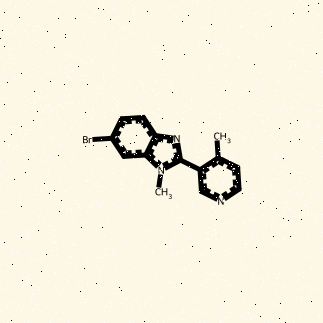 Cc1ccncc1-c1nc2ccc(Br)cc2n1C